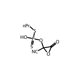 CCCSP(O)(=S)OC1(C#N)OC1=O